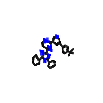 CC(C)(C)c1ccc(-c2cncc(-c3nccc(-c4nc(-c5ccccc5)nc(-c5ccccc5)n4)n3)c2)cc1